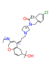 C/C=N\C1=CC(=C\CCN2CC[C@H](N(CC3=CC=C(Cl)CC3)C(=O)CC)C2)/C2=C(C=CC(C(C)(C)O)C2)OC1